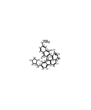 Cc1c2cc(CC(C)(C)C)ccc2c(C)c2c1c1c3c(ccc4c5ccc(CC6CCCC6)cc5n2c43)nc[n+]1C